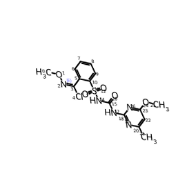 CO/N=C(/Cl)c1ccccc1S(=O)(=O)NC(=O)Nc1nc(C)cc(OC)n1